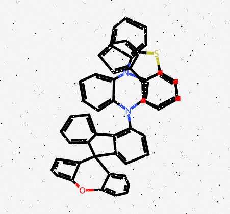 c1ccc(N(c2ccccc2)c2ccccc2N(c2cccc3c2-c2ccccc2C32c3ccccc3Oc3ccccc32)c2cccc3sc4ccccc4c23)cc1